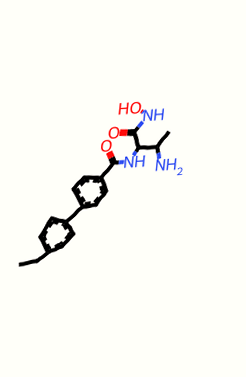 CCc1ccc(-c2ccc(C(=O)NC(C(=O)NO)C(C)N)cc2)cc1